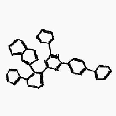 c1ccc(-c2ccc(-c3nc(-c4ccccc4)nc(-c4cccc(-c5ccccc5)c4-c4ccc5ccccc5c4)n3)cc2)cc1